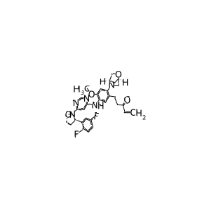 C=CC(=O)CCc1cc(Nc2cc(N3OCC[C@@H]3c3cc(F)ccc3F)ncn2)c(OC)cc1N1C[C@H]2C[C@@H]1CO2